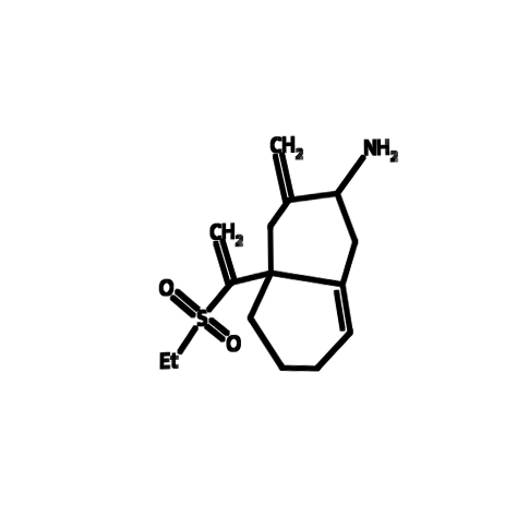 C=C1CC2(C(=C)S(=O)(=O)CC)CCCC=C2CC1N